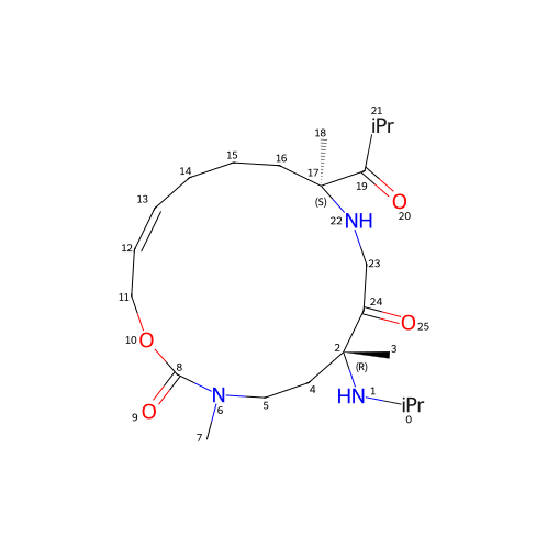 CC(C)N[C@]1(C)CCN(C)C(=O)OCC=CCCC[C@@](C)(C(=O)C(C)C)NCC1=O